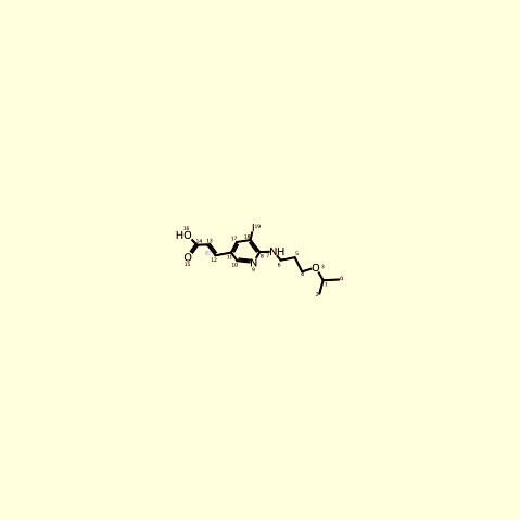 CC(C)OCCCNc1ncc(/C=C/C(=O)O)cc1I